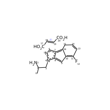 CC(N)Cn1ncc2c1=CC1=C(F)C=CCC=21.O=C(O)/C=C/C(=O)O